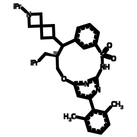 Cc1cccc(C)c1-c1cc2nc(n1)NS(=O)(=O)c1cccc(c1)C(C1CC3(C1)CN(C(C)C)C3)[C@H](CC(C)C)CO2